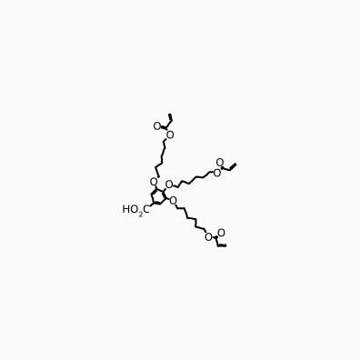 C=CC(=O)OCCCCCCOc1cc(C(=O)O)cc(OCCCCCCOC(=O)C=C)c1OCCCCCCOC(=O)C=C